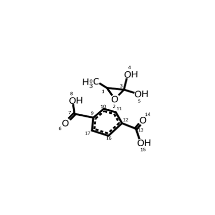 CC1OC1(O)O.O=C(O)c1ccc(C(=O)O)cc1